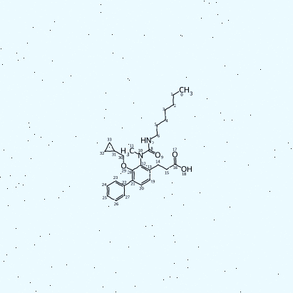 CCCCCCCNC(=O)N(C)c1c(CCC(=O)O)ccc(-c2ccccc2)c1OCC1CC1